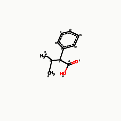 CC(C)[C](C(=O)O)c1ccccc1